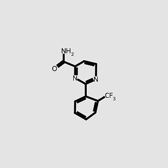 NC(=O)c1ccnc(-c2ccccc2C(F)(F)F)n1